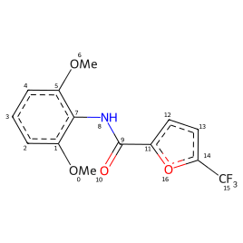 COc1cccc(OC)c1NC(=O)c1ccc(C(F)(F)F)o1